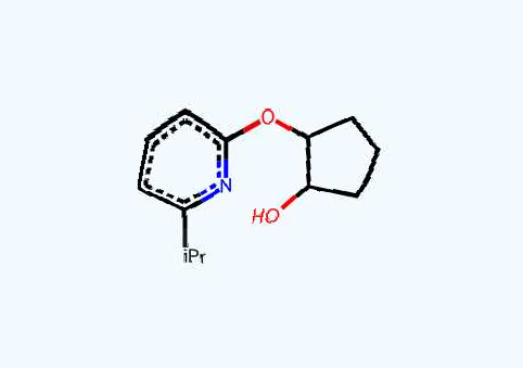 CC(C)c1cccc(OC2CCCC2O)n1